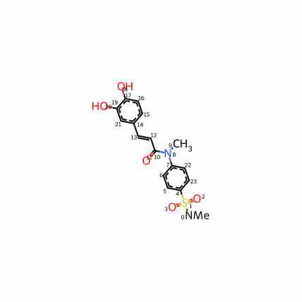 CNS(=O)(=O)c1ccc(N(C)C(=O)C=Cc2ccc(O)c(O)c2)cc1